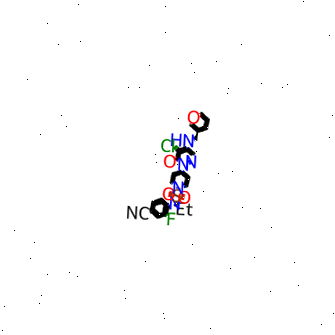 CCN(c1ccc(C#N)cc1F)S(=O)(=O)N1CCC(n2ncc(NC[C@@H]3CCCOC3)c(Cl)c2=O)CC1